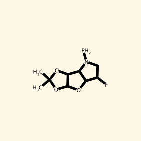 CC1(C)OC2OC3C(F)CN(P)C3C2O1